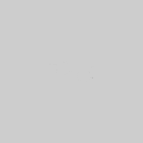 Cc1ccc(C2CCNC(=O)C2)cc1